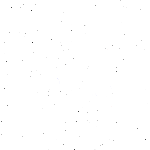 O=c1[nH]c2cc(CO)cc(Sc3nc4cc(Cl)ccc4[nH]3)c2[nH]1